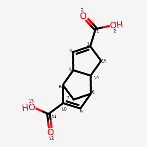 O=C(O)C1=CC2C3CC(C=C3C(=O)O)C2C1